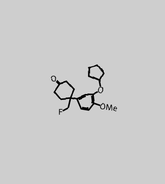 COc1ccc(C2(CF)CCC(=O)CC2)cc1OC1CCCC1